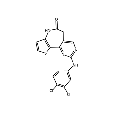 O=C1Cc2cnc(Nc3ccc(Cl)c(Cl)c3)nc2-c2sccc2N1